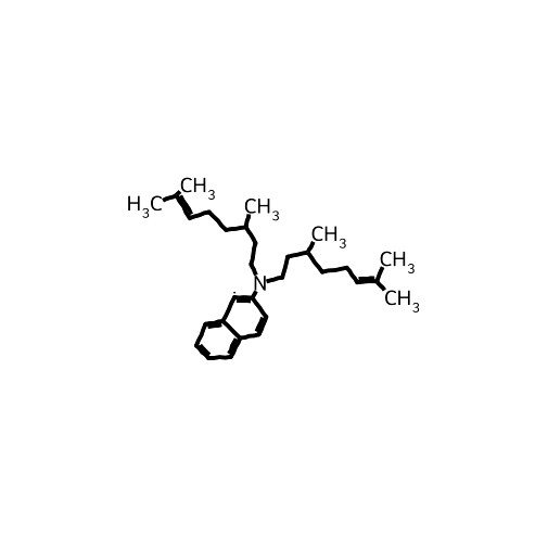 CC(C)=CCCC(C)CCN(CCC(C)CCC=C(C)C)c1[c]c2ccccc2cc1